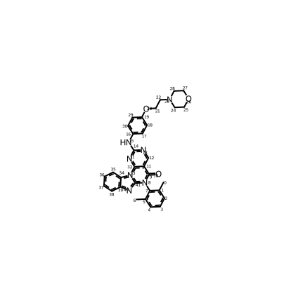 Cc1cccc(C)c1-n1c(=O)c2cnc(Nc3ccc(OCCN4CCOCC4)cc3)nc2n2c3ccccc3nc12